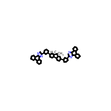 CC1(C)c2cc(-c3cccc(-c4cnc5c6ccccc6c6ccccc6c5n4)c3)ccc2-c2ccc(-c3cccc(-c4cnc5c6ccccc6c6ccccc6c5n4)c3)cc21